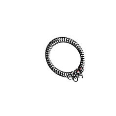 O=C(Cl)NC1CCCCCCCCCCCCCCCCCCCCCCCCCCCCCCCCCCCCCCCCCCCCCCCCC2(CC1)OCCO2